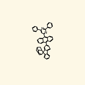 c1ccc(-c2cc(-c3c4ccccc4c(-c4ccc5c(c4)C4(c6ccccc6-5)C5CC6CC(C5)CC4C6)c4ccccc34)nc(-c3ccccc3)n2)cc1